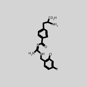 NC(=NC(=O)c1ccc(CC(N)C(=O)O)cc1)NCc1ccc(F)cc1Cl